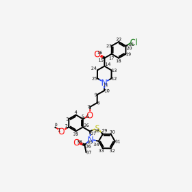 COc1ccc(OCCCCN2CCC(C(=O)c3ccc(Cl)cc3)CC2)c(C2Sc3ccccc3N2C(C)=O)c1